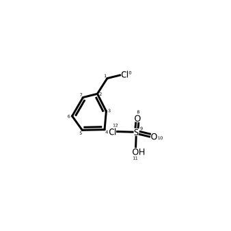 ClCc1ccccc1.O=S(=O)(O)Cl